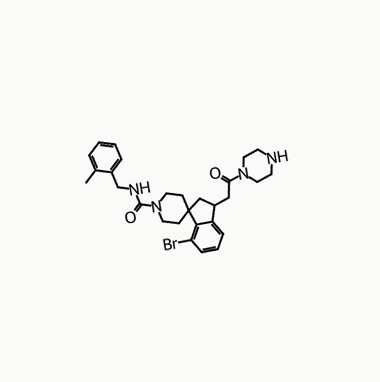 Cc1ccccc1CNC(=O)N1CCC2(CC1)CC(CC(=O)N1CCNCC1)c1cccc(Br)c12